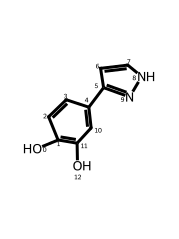 Oc1ccc(-c2cc[nH]n2)cc1O